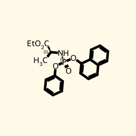 CCOC(=O)[C@H](C)N[P@](=O)(Oc1ccccc1)Oc1cccc2ccccc12